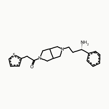 N[C@@H](CCN1CC2CN(C(=O)Cc3cccs3)CC2C1)c1ccccc1